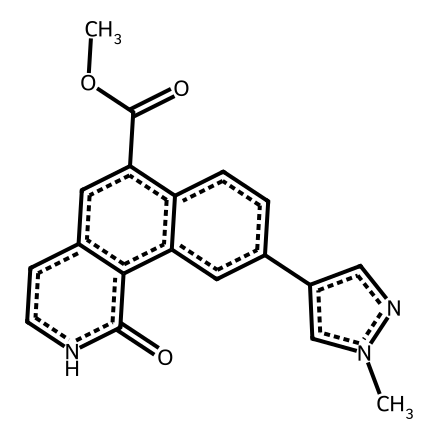 COC(=O)c1cc2cc[nH]c(=O)c2c2cc(-c3cnn(C)c3)ccc12